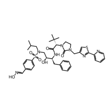 CC(C)CN(C[C@H](O)[C@H](Cc1ccccc1)NC(=O)[C@@H](N1CCN(Cc2csc(-c3ccccn3)n2)C1=O)C(C)(C)C)S(=O)(=O)c1ccc(C=NO)cc1